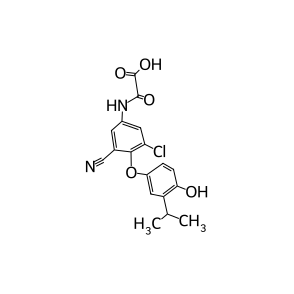 CC(C)c1cc(Oc2c(Cl)cc(NC(=O)C(=O)O)cc2C#N)ccc1O